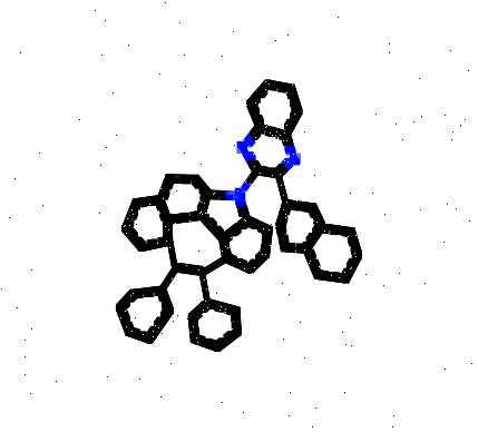 c1ccc(C2=C(c3ccccc3)c3cccc4c3c3c5c2cccc5ccc3n4-c2nc3ccccc3nc2-c2ccc3ccccc3c2)cc1